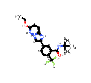 CCOc1ccc2nc(-c3ccc(C(F)(F)F)c(C(=O)NC(C)(C)C)c3)cn2n1